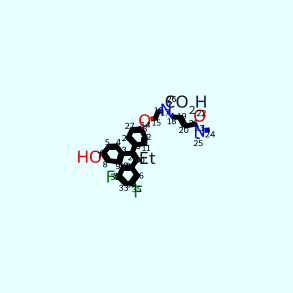 CCC(=C(c1ccc(O)cc1)c1ccc(OCCN(CC=CC(=O)N(C)C)C(=O)O)cc1)c1cc(F)cc(F)c1